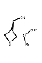 CC(C)(C)OC=O.N#CC=C1CNC1